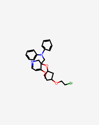 COC1=CC=NCC1(CN(c1ccccc1)c1ccccc1)OC1CCC(OCCBr)C1